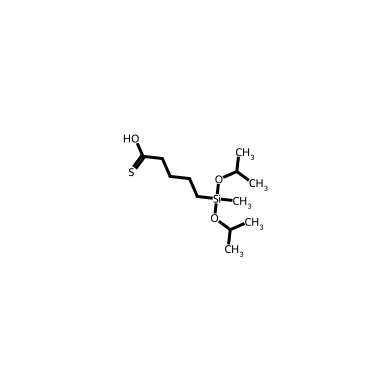 CC(C)O[Si](C)(CCCCC(O)=S)OC(C)C